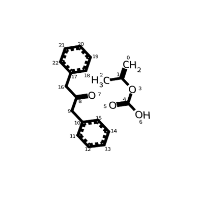 C=C(C)OC(=O)O.O=C(Cc1ccccc1)Cc1ccccc1